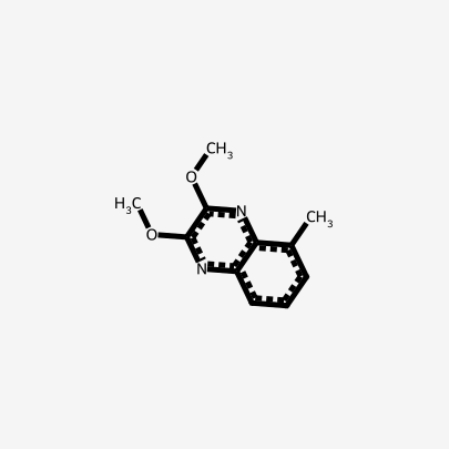 COc1nc2cccc(C)c2nc1OC